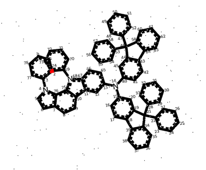 c1ccc(-n2ccc3ccc4c5cc(N(c6ccc7c(c6)C(c6ccccc6)(c6ccccc6)c6ccccc6-7)c6ccc7c(c6)C(c6ccccc6)(c6ccccc6)c6ccccc6-7)ccc5n(-c5ccccc5)c4c32)cc1